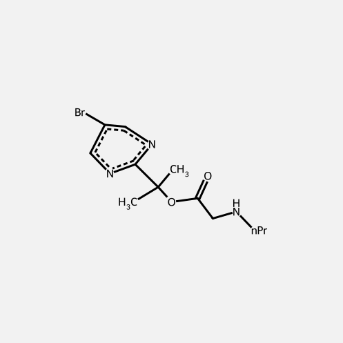 CCCNCC(=O)OC(C)(C)c1ncc(Br)cn1